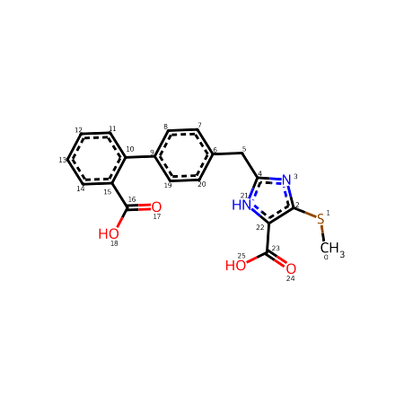 CSc1nc(Cc2ccc(-c3ccccc3C(=O)O)cc2)[nH]c1C(=O)O